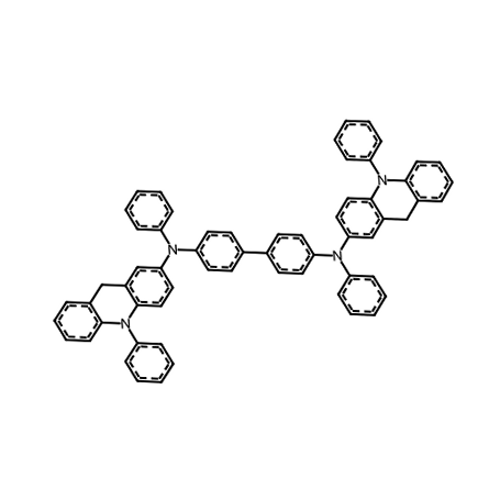 c1ccc(N(c2ccc(-c3ccc(N(c4ccccc4)c4ccc5c(c4)Cc4ccccc4N5c4ccccc4)cc3)cc2)c2ccc3c(c2)Cc2ccccc2N3c2ccccc2)cc1